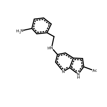 CC(=O)c1cc2cc(NCc3cccc(N)c3)cnc2[nH]1